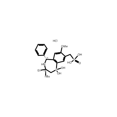 CCCC[C@]1(CC)CS(O)(O)c2cc(CP(=O)(O)O)c(OC)cc2[C@@H](c2ccccc2)N1.Cl